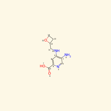 Nc1cnc(C(=O)O)cc1NCC1CCO1